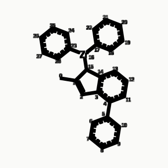 CC1=Cc2c(-c3ccccc3)cccc2[CH]1[Zr]([c]1ccccc1)[c]1ccccc1